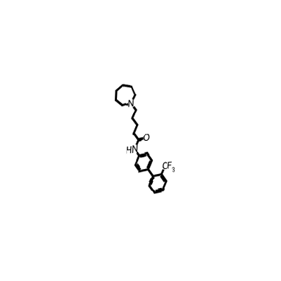 O=C(CCCCN1CCCCCC1)Nc1ccc(-c2ccccc2C(F)(F)F)cc1